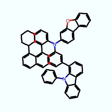 c1ccc(-n2c3ccccc3c3cccc(-c4cccc(N(c5ccc6c(c5)oc5ccccc56)c5ccccc5-c5cccc6cccc(C7CCCCC7)c56)c4)c32)cc1